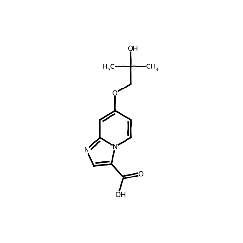 CC(C)(O)COc1ccn2c(C(=O)O)cnc2c1